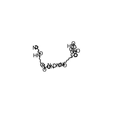 O=C(/C=C/c1cccnc1)NCCCCC1CCN(C(=O)c2ccc(N3CCC(N4CCN(C(=O)CCCCCCSc5cccc6c5C(=O)N(C5CCC(=O)NC5=O)C6=O)CC4)CC3)nc2)CC1